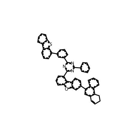 C1=Cc2cc(-c3ccc4c(c3)oc3cccc(-c5nc(-c6ccccc6)nc(-c6cccc(-c7cccc8c7sc7ccccc78)c6)n5)c34)c3ccccc3c2CC1